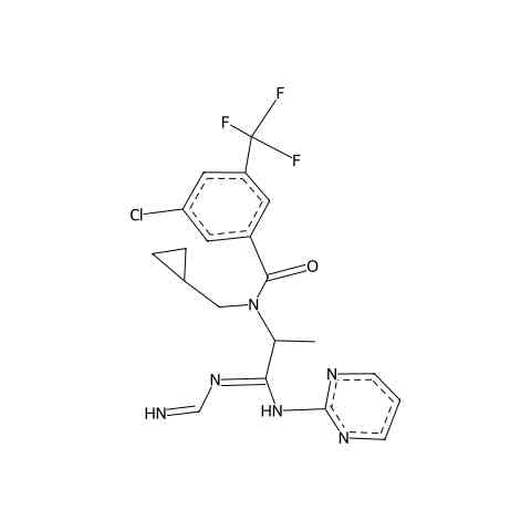 CC(/C(=N/C=N)Nc1ncccn1)N(CC1CC1)C(=O)c1cc(Cl)cc(C(F)(F)F)c1